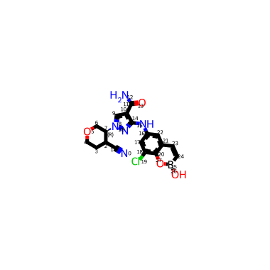 N#CC1CCOC[C@@H]1n1cc(C(N)=O)c(Nc2cc(Cl)c3c(c2)C=CB(O)O3)n1